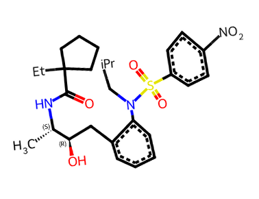 CCC1(C(=O)N[C@@H](C)[C@H](O)Cc2ccccc2N(CC(C)C)S(=O)(=O)c2ccc([N+](=O)[O-])cc2)CCCC1